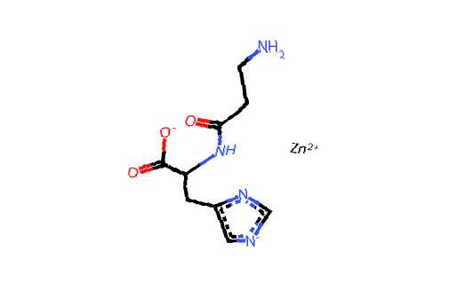 NCCC(=O)NC(Cc1c[n-]cn1)C(=O)[O-].[Zn+2]